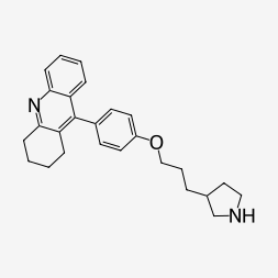 c1ccc2c(-c3ccc(OCCCC4CCNC4)cc3)c3c(nc2c1)CCCC3